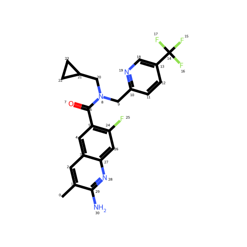 Cc1cc2cc(C(=O)N(Cc3ccc(C(F)(F)F)cn3)CC3CC3)c(F)cc2nc1N